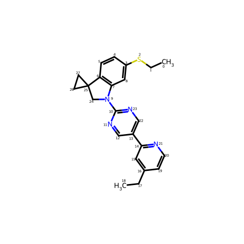 CCSc1ccc2c(c1)N(c1ncc(-c3cc(CC)ccn3)cn1)CC21CC1